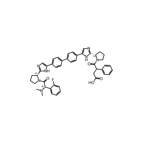 CN(C)[C@@H](C(=O)N1CCC[C@H]1c1ncc(-c2ccc(-c3ccc(-c4cnc([C@@H]5CCCN5C(=O)C(CC(=O)O)c5ccccc5)[nH]4)cc3)cc2)[nH]1)c1ccccc1F